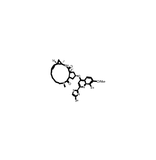 CCc1c(OC)ccc2c(O[C@H]3CC4C(=O)N(C)CCCC/C=C\[C@@H]5C[C@@]5(C)NC(=O)[C@@H]4C3)cc(-c3nc(C(C)C)cs3)nc12